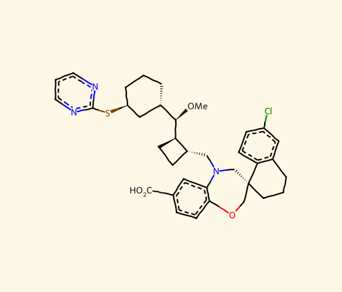 CO[C@H]([C@H]1CCC[C@H](Sc2ncccn2)C1)[C@@H]1CC[C@H]1CN1C[C@]2(CCCc3cc(Cl)ccc32)COc2ccc(C(=O)O)cc21